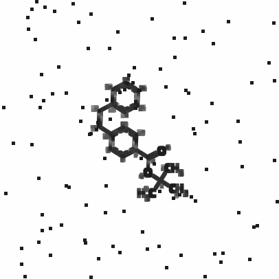 CC(C)(C)OC(=O)c1ccc(/C=C\c2ccccc2)cc1